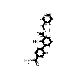 NC(=O)c1ccc(-c2cccc(C(=O)NCc3cccnc3)c2O)cc1